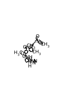 COc1cc(C(=O)N(C)c2ccc(C)cc2OCCCCC(=C=O)N2CCN(C)CC2)ccc1C(=O)Nc1cccc2[nH]c(-n3cncn3)nc12